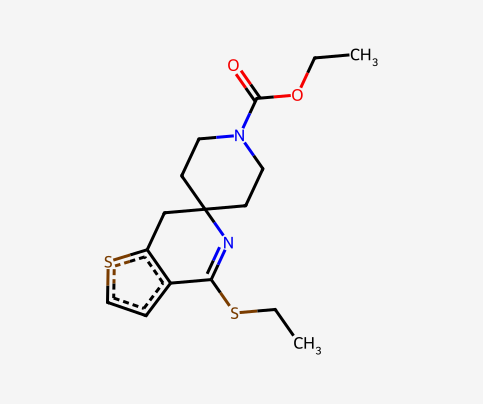 CCOC(=O)N1CCC2(CC1)Cc1sccc1C(SCC)=N2